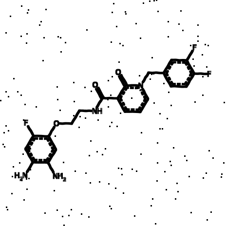 Nc1cc(F)c(OCCNC(=O)c2cccn(Cc3ccc(F)c(F)c3)c2=O)cc1N